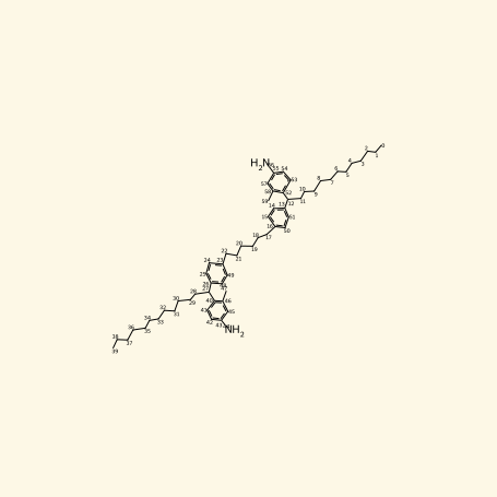 CCCCCCCCCCCCC(c1ccc(CCCCCCc2ccc(C(CCCCCCCCCCCC)c3ccc(N)cc3C)cc2)cc1)c1ccc(N)cc1C